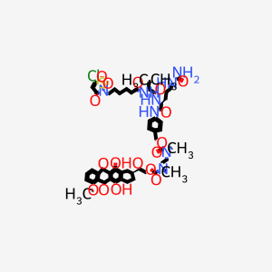 COc1cccc2c1C(=O)c1c(O)c3c(c(O)c1C2=O)C[C@@H](C(=O)COC(=O)N(C)CCN(C)C(=O)OCc1ccc(NC(=O)[C@H](CCCNC(N)=O)NC(=O)C(NC(=O)CCCCCN2C(=O)C=C(Cl)S2(=O)=O)C(C)C)cc1)CC3